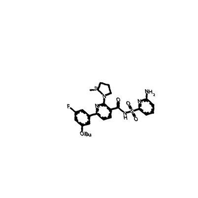 CC(C)COc1cc(F)cc(-c2ccc(C(=O)NS(=O)(=O)c3cccc(N)n3)c(N3CCC[C@@H]3C)n2)c1